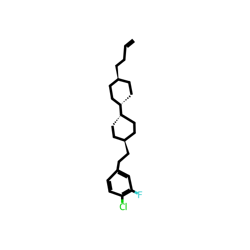 C=CCC[C@H]1CC[C@H]([C@H]2CC[C@H](CCc3ccc(Cl)c(F)c3)CC2)CC1